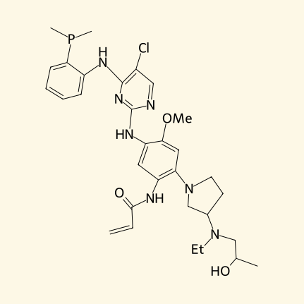 C=CC(=O)Nc1cc(Nc2ncc(Cl)c(Nc3ccccc3P(C)C)n2)c(OC)cc1N1CCC(N(CC)CC(C)O)C1